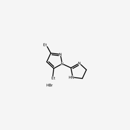 Br.CCc1cc(CC)n(C2=NCCN2)n1